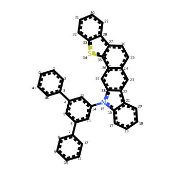 c1ccc(-c2cc(-c3ccccc3)cc(-n3c4ccccc4c4cc5ccc6c7ccccc7sc6c5cc43)c2)cc1